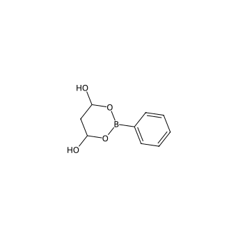 OC1CC(O)OB(c2ccccc2)O1